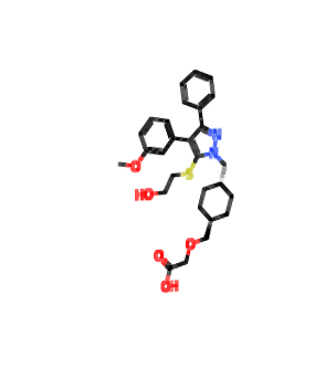 COc1cccc(-c2c(-c3ccccc3)nn(C[C@H]3CC[C@H](COCC(=O)O)CC3)c2SCCO)c1